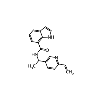 C=Cc1ccc(C(C)NC(=O)c2cccc3cc[nH]c23)cn1